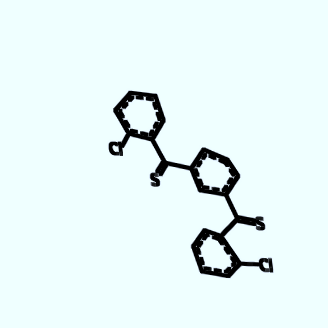 S=C(c1cccc(C(=S)c2ccccc2Cl)c1)c1ccccc1Cl